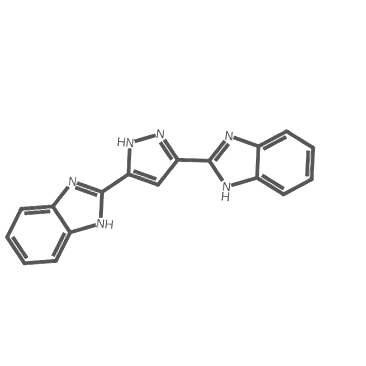 c1ccc2[nH]c(-c3cc(-c4nc5ccccc5[nH]4)[nH]n3)nc2c1